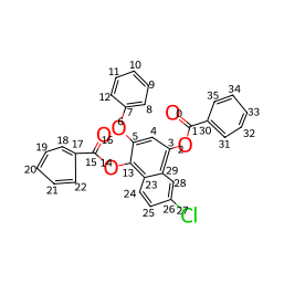 O=C(Oc1cc(Oc2ccccc2)c(OC(=O)c2ccccc2)c2ccc(Cl)cc12)c1ccccc1